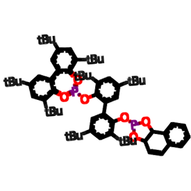 CC(C)(C)c1cc(-c2cc(C(C)(C)C)cc(C(C)(C)C)c2Op2oc3c(C(C)(C)C)cc(C(C)(C)C)cc3c3cc(C(C)(C)C)cc(C(C)(C)C)c3o2)c(OP2OC3C=Cc4ccccc4C3O2)c(C(C)(C)C)c1